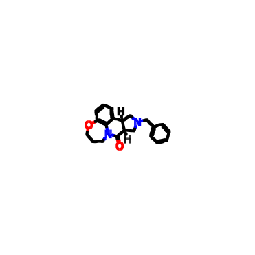 O=C1[C@H]2CN(Cc3ccccc3)C[C@H]2c2cccc3c2N1CCCO3